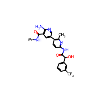 Cc1nc(NC(=O)C(O)c2cccc(C(F)(F)F)c2)ccc1-c1cnc(N)c(C(=O)NC(C)C)c1